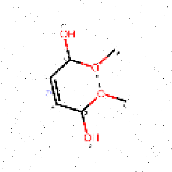 COC(O)/C=C\C(O)OC